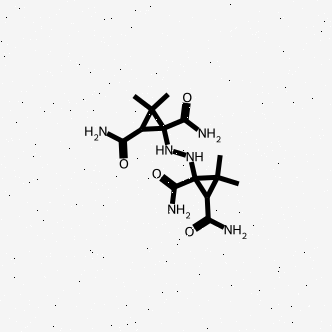 CC1(C)C(C(N)=O)C1(NNC1(C(N)=O)C(C(N)=O)C1(C)C)C(N)=O